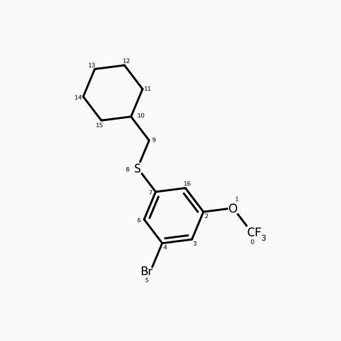 FC(F)(F)Oc1cc(Br)cc(SCC2CCCCC2)c1